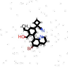 C=Cc1cc(C2(C#N)CCC2)cc(-c2cc(Br)cc3cccnc23)c1CO